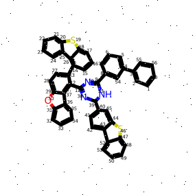 c1ccc(-c2cccc(C3=NC(c4c(-c5cccc6sc7ccccc7c56)ccc5oc6ccccc6c45)=NC(c4ccc5c(c4)sc4ccccc45)N3)c2)cc1